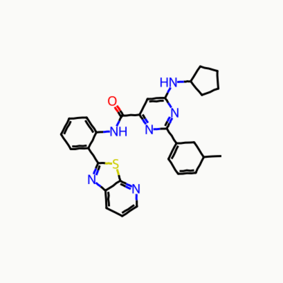 CC1C=CC=C(c2nc(NC3CCCC3)cc(C(=O)Nc3ccccc3-c3nc4cccnc4s3)n2)C1